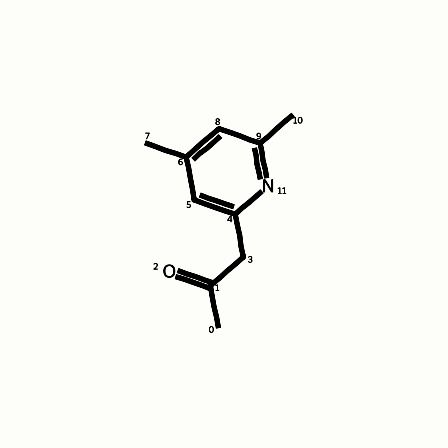 CC(=O)Cc1cc(C)cc(C)n1